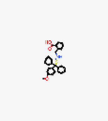 COc1ccc(C(SCNCc2ccccc2C(=O)O)(c2ccccc2)c2ccccc2)cc1